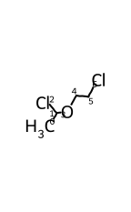 CC(Cl)OCCCl